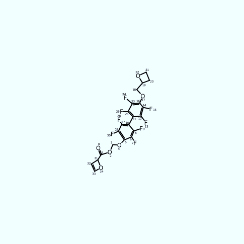 O=C(OCOc1c(F)c(F)c(-c2c(F)c(F)c(OCC3CCO3)c(F)c2F)c(F)c1F)C1C=CO1